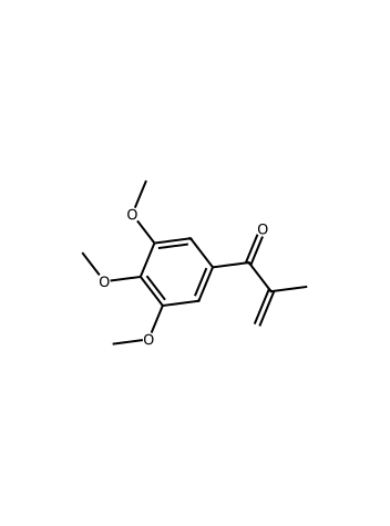 C=C(C)C(=O)c1cc(OC)c(OC)c(OC)c1